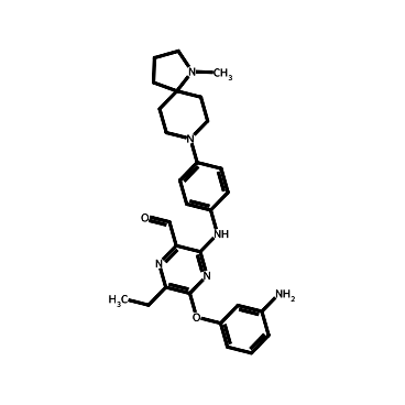 CCc1nc(C=O)c(Nc2ccc(N3CCC4(CCCN4C)CC3)cc2)nc1Oc1cccc(N)c1